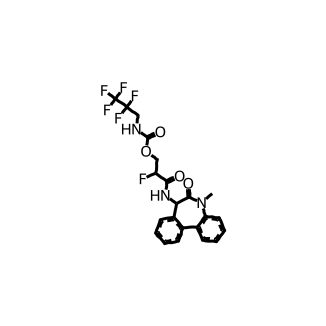 CN1C(=O)C(NC(=O)C(F)COC(=O)NCC(F)(F)C(F)(F)F)c2ccccc2-c2ccccc21